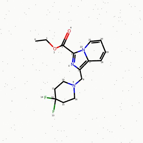 CCOC(=O)c1nc(CN2CCC(F)(F)CC2)c2ccccn12